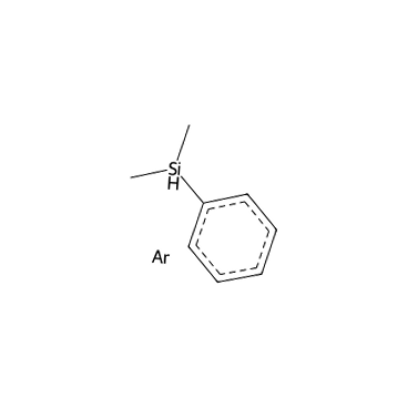 C[SiH](C)c1ccccc1.[Ar]